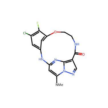 CNc1cc2nc3c(cnn13)C(=O)NCCOc1cc(cc(Cl)c1F)N2